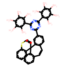 Bc1c(B)c(B)c(-c2nc(-c3ccc4c(c3)C3(c5ccccc5C=C4)c4ccccc4Sc4ccccc43)nc(-c3c(B)c(B)c(B)c(B)c3B)n2)c(B)c1B